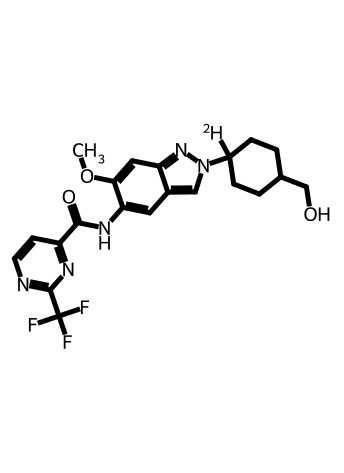 [2H]C1(n2cc3cc(NC(=O)c4ccnc(C(F)(F)F)n4)c(OC)cc3n2)CCC(CO)CC1